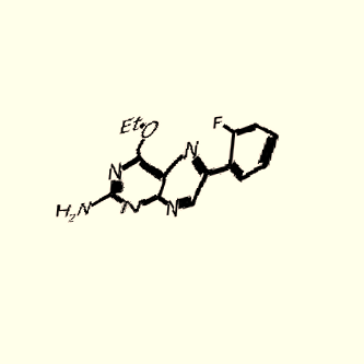 CCOc1nc(N)nc2ncc(-c3ccccc3F)nc12